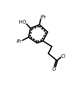 CC(C)c1cc(CCC(=O)Cl)cc(C(C)C)c1O